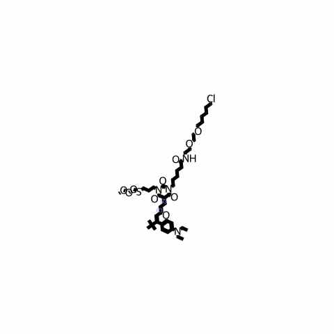 CCN(CC)c1ccc2c(c1)O/C(=C\C=C1\C(=O)N(CCCCCC(=O)NCCOCCOCCCCCCCl)C(=O)N(CCCSOOOC)C1=O)C=C2C(C)(C)C